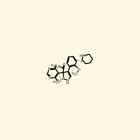 COc1c(C2=CNN(C)C2(C(N)=O)c2c(C)ncnc2C)cccc1[C@H]1CCCCN1